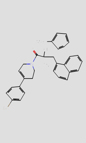 COc1ccccc1[C@H](c1cccc2ccccc12)[C@@](C)(C#N)C(=O)N1CC=C(c2ccc(Br)cc2)CC1